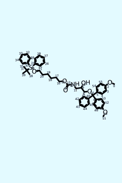 COc1ccc(C(OCC(O)CNC(=O)OCCCCCCO[Si](c2ccccc2)(c2ccccc2)C(C)(C)C)(c2ccccc2)c2ccc(OC)cc2)cc1